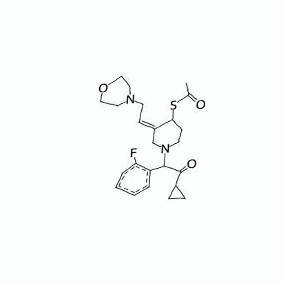 CC(=O)SC1CCN(C(C(=O)C2CC2)c2ccccc2F)CC1=CCN1CCOCC1